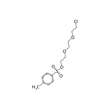 Cc1ccc(S(=O)(=O)OCCOCCOCCCl)cc1